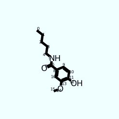 CCCCCNC(=O)c1ccc(O)c(OC)c1